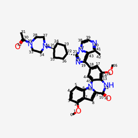 COc1cccc2c1cc1c(=O)[nH]c3c(OC)cc(-c4nc([C@H]5CC[C@H](N6CCN(C(C)=O)CC6)CC5)n5ccnc(C)c45)cc3n12